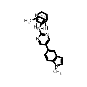 C[C@@H]1[C@@H](Nc2ncc(-c3ccc4c(ccn4C)c3)cn2)C2CCN1CC2